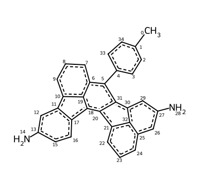 Cc1ccc(-c2c3cccc4c5cc(N)ccc5c(c34)c3c4cccc5cc(N)cc(c23)c54)cc1